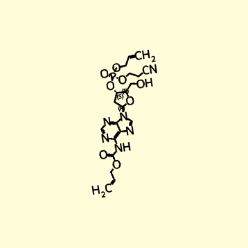 C=CCOC(=O)Nc1ncnc2c1ncn2[C@H]1C[C@H](OP(=O)(OCC=C)OCCC#N)[C@@H](CO)O1